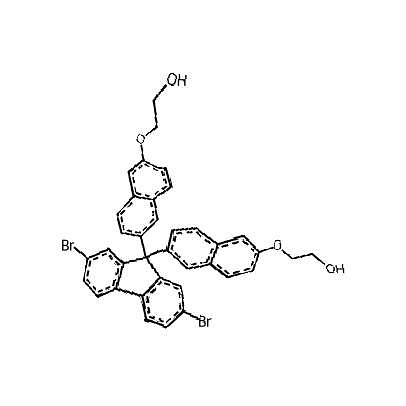 OCCOc1ccc2cc(C3(c4ccc5cc(OCCO)ccc5c4)c4cc(Br)ccc4-c4ccc(Br)cc43)ccc2c1